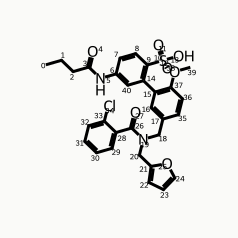 CCCC(=O)Nc1ccc(S(=O)(=O)O)c(-c2cc(CN(Cc3ccco3)C(=O)c3ccccc3Cl)ccc2OC)c1